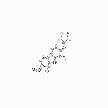 COc1ccc2c(oc3c(F)c(OC4CCCC4)ccc32)c1F